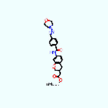 CCCCCCCOC(=O)CC1COc2cc(NC(=O)c3ccc(/C=N/N4CCOCC4)cc3)ccc2C1